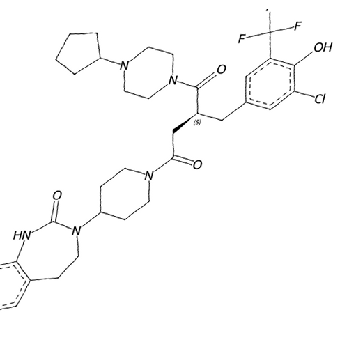 O=C(C[C@H](Cc1cc(Cl)c(O)c(C(F)(F)F)c1)C(=O)N1CCN(C2CCCC2)CC1)N1CCC(N2CCc3ccccc3NC2=O)CC1